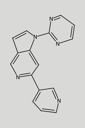 c1cnc(-n2ccc3cnc(-c4cccnc4)cc32)nc1